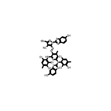 CCc1cc(C)c(S)c(CC)c1Nc1nc(N(c2nc3ccc(S)cc3s2)c2c(CC)cc(C)c(S)c2CC)cc(C)c1N=Nc1c(C#N)c(C(C)(C)C)nn1-c1nc2ccc(S)cc2s1